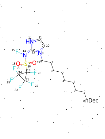 CCCCCCCCCCCCCCCCCCn1cc[nH]c1=[N+](F)S(=O)(=O)C1(F)C(F)(F)C1(F)F